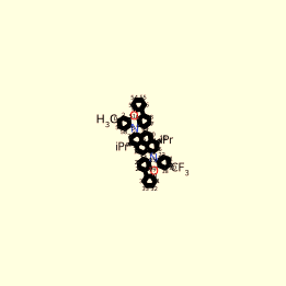 Cc1ccc(N(c2cc(C(C)C)c3ccc4c(N(c5ccc(C(F)(F)F)cc5)c5cccc6c5oc5ccccc56)cc(C(C)C)c5ccc2c3c54)c2cccc3c2oc2ccccc23)cc1